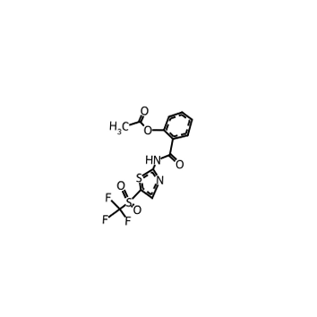 CC(=O)Oc1ccccc1C(=O)Nc1ncc(S(=O)(=O)C(F)(F)F)s1